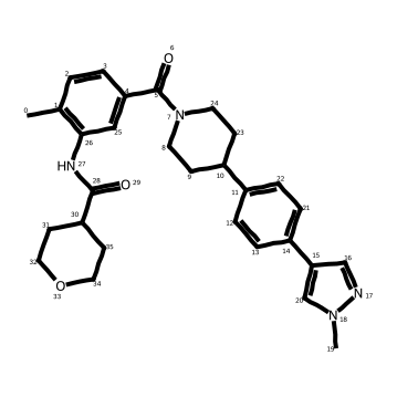 Cc1ccc(C(=O)N2CCC(c3ccc(-c4cnn(C)c4)cc3)CC2)cc1NC(=O)C1CCOCC1